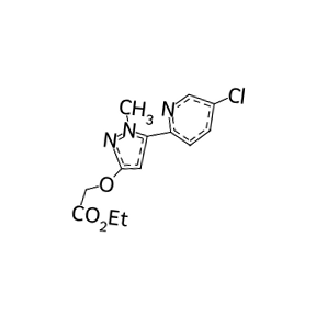 CCOC(=O)COc1cc(-c2ccc(Cl)cn2)n(C)n1